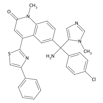 Cn1cncc1C(N)(c1ccc(Cl)cc1)c1ccc2c(c1)c(-c1nc(-c3ccccc3)cs1)cc(=O)n2C